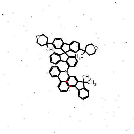 CC1(c2ccc3c(c2)C2(c4cc(C5(C)CCOCC5)ccc4-3)c3ccccc3-c3c(N(c4ccc5c(c4)C(C)(C)c4ccccc4-5)c4ccccc4-c4ccccc4)cccc32)CCOCC1